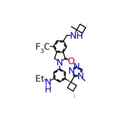 CCNc1cc(N2Cc3c(cc(CNC4(C)CCC4)cc3C(F)(F)F)C2=O)cc([C@]2(c3nncn3C)C[C@@H](C)C2)c1